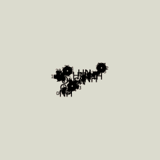 CNC(=O)Oc1cc(C)c(SC)c(C)c1.Cc1cc(=O)n(-c2ccccc2)n1C.N=C(N)NC(=N)NCCc1ccccc1